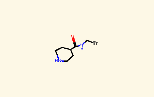 CC(C)CNC(=O)C1CCNCC1